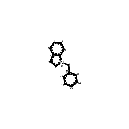 [c]1cccc2c1[c]cn2Cc1ccccc1